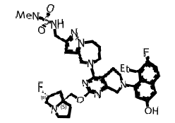 CCc1c(F)ccc2cc(O)cc(N3CCc4c(nc(OC[C@@]56CCCN5C[C@H](F)C6)nc4N4CCCn5nc(CNS(=O)(=O)NC)cc5C4)C3)c12